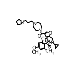 COc1cc(C)c(S(=O)(=O)N(Cc2cc(C(=O)N3CCCN(CCCN4CCCC4)CC3)co2)C2CC2)c(C)c1